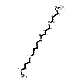 COCCCOCCCCOCCCCOCCCOC